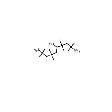 CC(C)(N)CC(C)(C)CC(O)C(C)(C)CC(C)(C)N